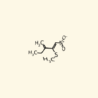 C=C(CC)/C(=C/[N+](=O)[O-])SC